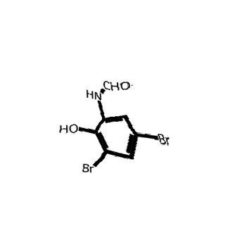 O=[C]Nc1cc(Br)cc(Br)c1O